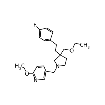 CCOCC1(CCc2ccc(F)cc2)CCN(Cc2ccc(OC)nc2)C1